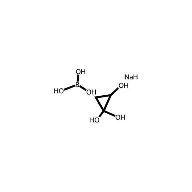 OB(O)O.OC1CC1(O)O.[NaH]